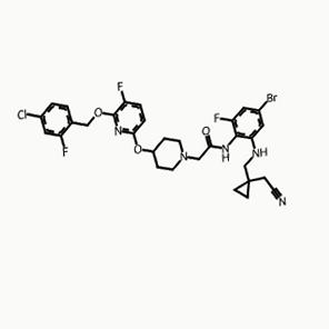 N#CCC1(CNc2cc(Br)cc(F)c2NC(=O)CN2CCC(Oc3ccc(F)c(OCc4ccc(Cl)cc4F)n3)CC2)CC1